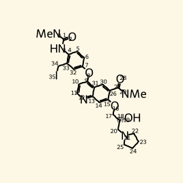 CNC(=O)Nc1ccc(Oc2ccnc3cc(OC[C@H](O)CN4CCCC4)c(C(=O)NC)cc23)cc1CI